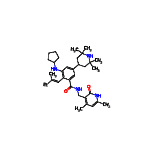 CC/C(C)=C/c1c(NC2CCCC2)cc(C2CC(C)(C)NC(C)(C)C2)cc1C(=O)NCc1c(C)cc(C)[nH]c1=O